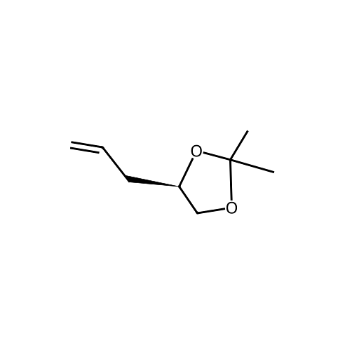 C=CC[C@@H]1COC(C)(C)O1